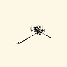 CCCCCCCCCCCCCC[C@@H](O)[C@@H](O)[C@H](COC1OC(CO)C(O)C(O)C1O)NC(=O)CCCCCCCCCCCCCCCCCCCCCCCC12CC(F)(C1)C2